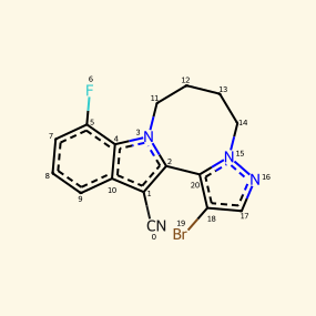 N#Cc1c2n(c3c(F)cccc13)CCCCn1ncc(Br)c1-2